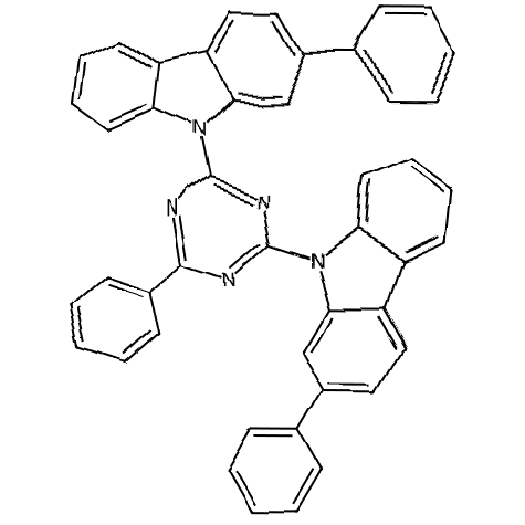 c1ccc(-c2ccc3c4ccccc4n(-c4nc(-c5ccccc5)nc(-n5c6ccccc6c6ccc(-c7ccccc7)cc65)n4)c3c2)cc1